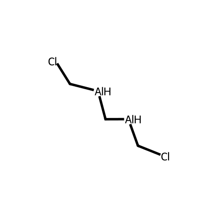 Cl[CH2][AlH][CH2][AlH][CH2]Cl